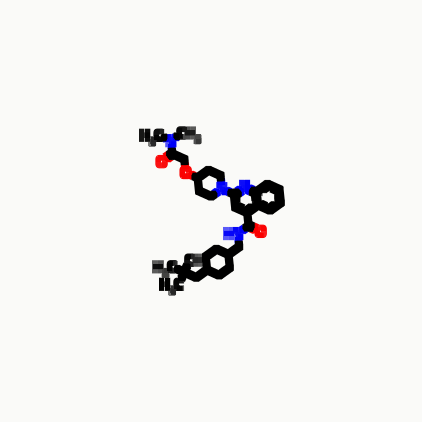 CN(C)C(=O)COC1CCN(c2cc(C(=O)NCC3CCC(CC(C)(C)C)CC3)c3ccccc3n2)CC1